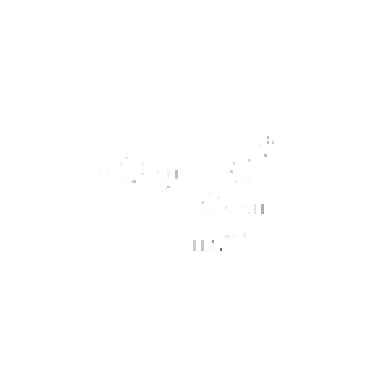 COc1ccc(NC(=O)C=Cc2cc(C(N)=O)c(N)c(-c3ccc(S(N)(=O)=O)cc3)c2)cc1